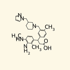 CNc1ccc(C(CC(=O)O)c2ccc(C)c(CN3CCCC(Cn4cccn4)C3)c2)c(C)c1N